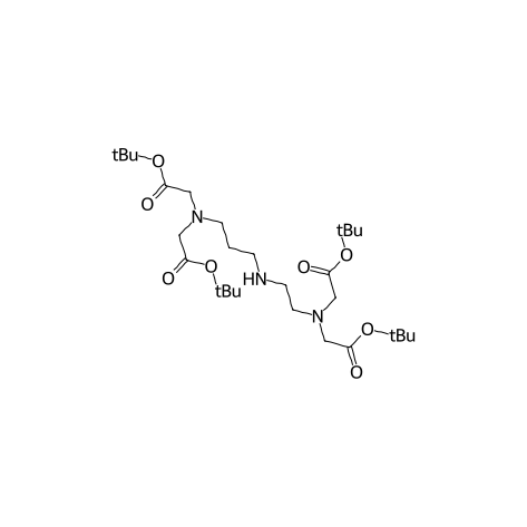 CC(C)(C)OC(=O)CN(CCCNCCN(CC(=O)OC(C)(C)C)CC(=O)OC(C)(C)C)CC(=O)OC(C)(C)C